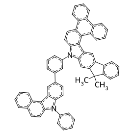 CC1(C)c2ccccc2-c2cc3c4c5c6ccccc6c6ccccc6c5ccc4n(-c4cccc(-c5ccc6c(c5)c5c7ccccc7ccc5n6-c5ccccc5)c4)c3cc21